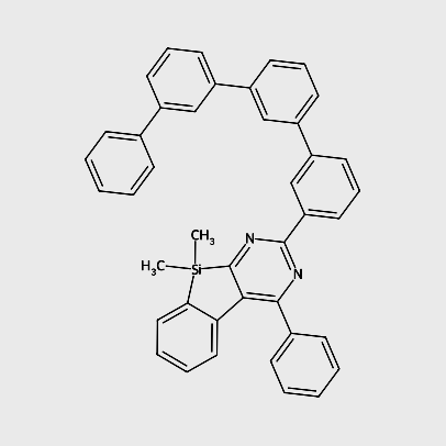 C[Si]1(C)c2ccccc2-c2c(-c3ccccc3)nc(-c3cccc(-c4cccc(-c5cccc(-c6ccccc6)c5)c4)c3)nc21